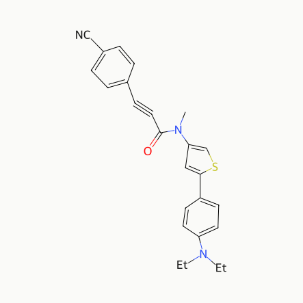 CCN(CC)c1ccc(-c2cc(N(C)C(=O)C#Cc3ccc(C#N)cc3)cs2)cc1